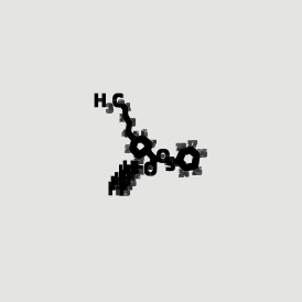 CCCCCc1ccc(C(=O)OSc2ccccc2)cc1.F.F.F.F.F